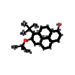 C[SiH](C)Oc1cc2ccc3ccc(Br)c4ccc(c1C(C)(C)C)c2c34